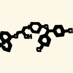 OC(COc1cccc2ncccc12)CN1CCC(OC(c2ccc(Cl)cc2)c2ccc(Cl)cc2)CC1